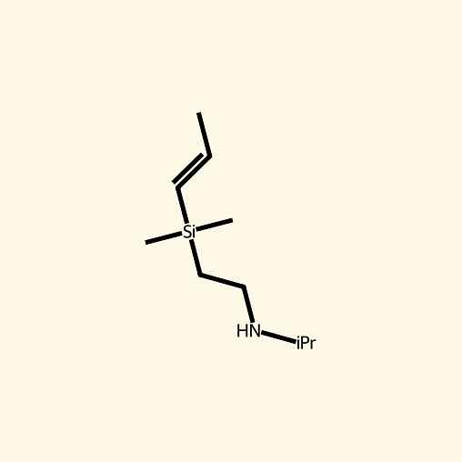 CC=C[Si](C)(C)CCNC(C)C